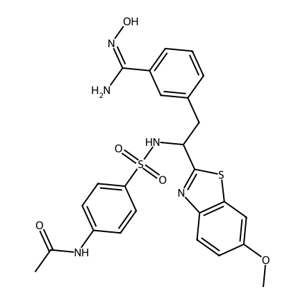 COc1ccc2nc(C(Cc3cccc(/C(N)=N\O)c3)NS(=O)(=O)c3ccc(NC(C)=O)cc3)sc2c1